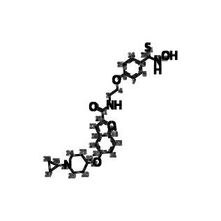 O=C(NCCOc1ccc(C(=S)NO)cc1)c1cc2cc(OC3CCN(C4CC4)CC3)ccc2o1